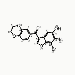 O=C(c1ccc2c(c1)OCCO2)c1coc2c(Br)c(Br)c(O)cc12